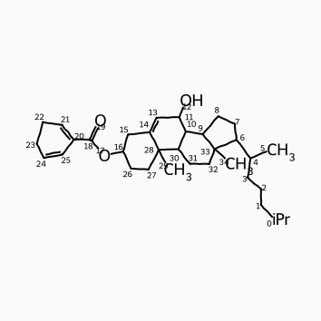 CC(C)CCCC(C)C1CCC2C3C(O)C=C4CC(OC(=O)C5=CCCC=C5)CCC4(C)C3CCC12C